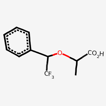 CC(OC(c1ccccc1)C(F)(F)F)C(=O)O